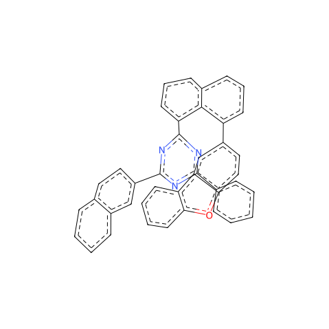 c1ccc(-c2nc(-c3ccc4ccccc4c3)nc(-c3cccc4cccc(-c5ccc6oc7ccccc7c6c5)c34)n2)cc1